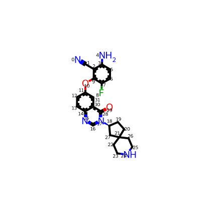 N#Cc1c(N)ccc(F)c1Oc1ccc2ncn([C@H]3CCC4(CCNCC4)C3)c(=O)c2c1